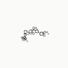 C[C@@H](c1ccc(-c2ccc(=O)n(C)c2)cc1)N1CCC(CCCNS(C)(=O)=O)(c2ccccc2)OC1=O